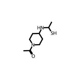 CC(=O)N1CCC(NC(C)S)CC1